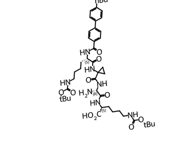 CCCCc1ccc(-c2ccc(C(=O)N[C@@H](CCCCNC(=O)OC(C)(C)C)C(=O)NC3(C(=O)N[C@@H](N)C(=O)N[C@@H](CCCCNC(=O)OC(C)(C)C)C(=O)O)CC3)cc2)cc1